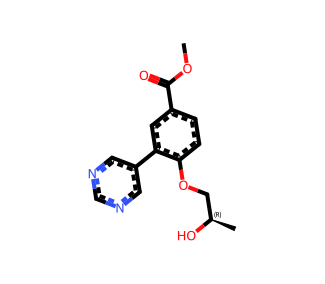 COC(=O)c1ccc(OC[C@@H](C)O)c(-c2cncnc2)c1